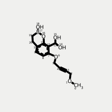 COCC#CCOc1ccc2c(c1C(O)O)OB(O)CC2